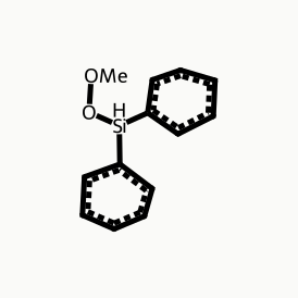 COO[SiH](c1ccccc1)c1ccccc1